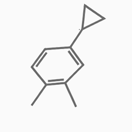 Cc1ccc([C]2CC2)cc1C